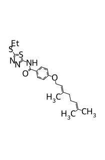 CCSc1nnc(NC(=O)c2ccc(OC/C=C(\C)CCC=C(C)C)cc2)s1